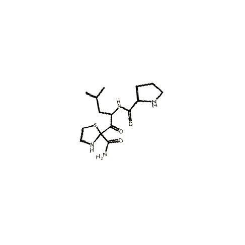 CC(C)CC(NC(=O)C1CCCN1)C(=O)C1(C(N)=O)NCCS1